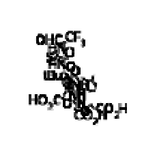 Cc1ccccc1C[C@H](NC(=O)[C@H](CCC(=O)O)NC(=O)[C@H](CC(=O)O)NC(=O)CCC(=O)O)C(=O)N[C@H](C(=O)N[C@@](C)(C(=O)N[C@H](C=O)CC(F)(F)F)c1ccsc1)C(C)(C)C